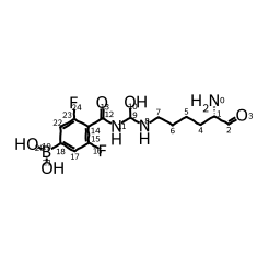 N[C@H](C=O)CCCCNC(O)NC(=O)c1c(F)cc(B(O)O)cc1F